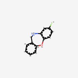 Fc1ccc2c(c1)NCc1ccccc1O2